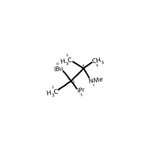 CCC(C)C(C)(C(C)C)C(C)(C)NC